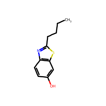 CCCCc1nc2ccc(O)cc2s1